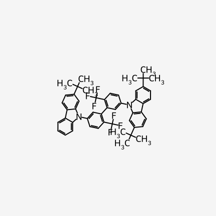 CC(C)(C)c1ccc2c3ccccc3n(-c3ccc(C(F)(F)F)c(-c4cc(-n5c6cc(C(C)(C)C)ccc6c6ccc(C(C)(C)C)cc65)ccc4C(F)(F)F)c3)c2c1